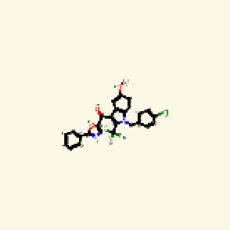 COc1ccc2c(c1)c(C(=O)c1cnc(-c3ccccc3)o1)c(C(F)(F)F)n2Cc1ccc(Cl)cc1